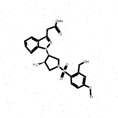 CCOc1ccc(S(=O)(=O)N2C[C@@H](C)[C@@H](n3nc(CC(=O)OC)c4ccccc43)C2)c(CO)c1